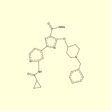 CNC(=O)c1sc(-c2ccnc(NC(=O)C3CC3)c2)nc1OC1CCN(Cc2ccccc2)CC1